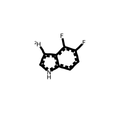 [2H]c1c[nH]c2ccc(F)c(F)c12